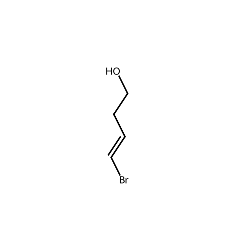 OCC/C=C/Br